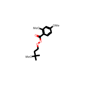 COc1ccc(C(=O)OO[CH]CC(C)(C)OC)c(OC)c1